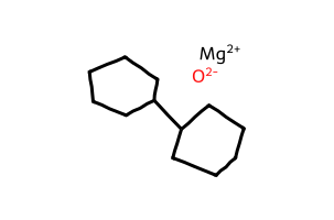 C1CCC(C2CCCCC2)CC1.[Mg+2].[O-2]